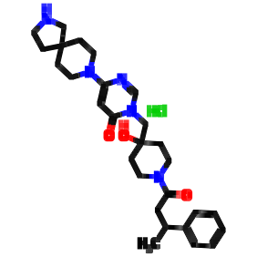 CC(CC(=O)N1CCC(O)(Cn2cnc(N3CCC4(CCNC4)CC3)cc2=O)CC1)c1ccccc1.Cl